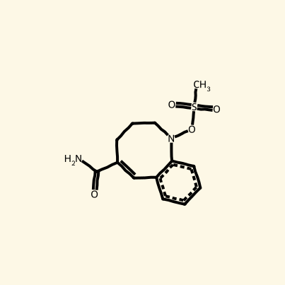 CS(=O)(=O)ON1CCCC(C(N)=O)=Cc2ccccc21